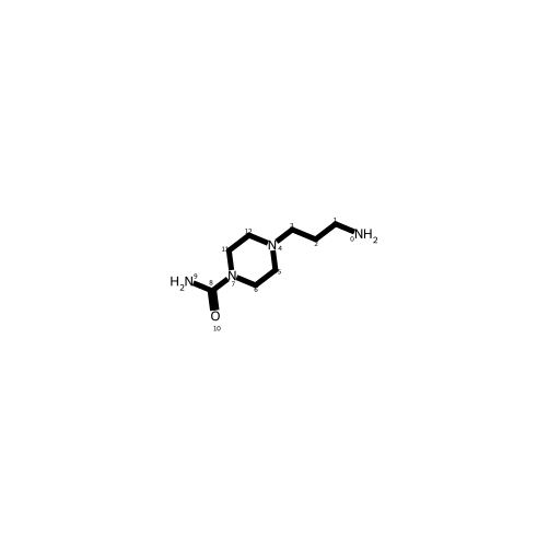 NCCCN1CCN(C(N)=O)CC1